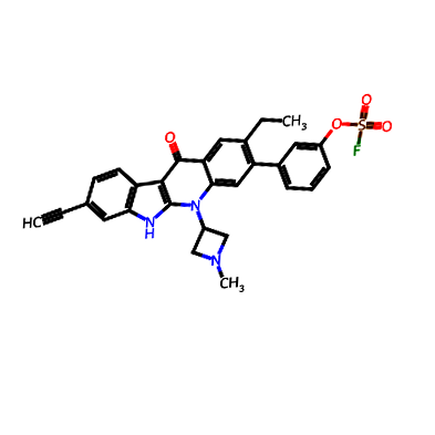 C#Cc1ccc2c(c1)[nH]c1c2c(=O)c2cc(CC)c(-c3cccc(OS(=O)(=O)F)c3)cc2n1C1CN(C)C1